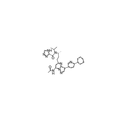 CC(=O)Nc1cc(CC[C@@H](C)N(C(=O)c2nnc[nH]2)C(C)C)nc2c(-c3ccc(-c4ccccc4)nc3)cnn12